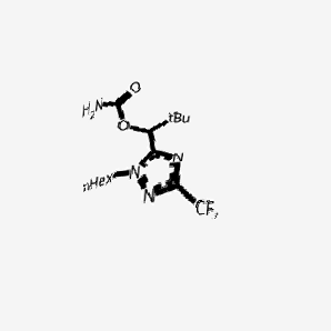 CCCCCCn1nc(C(F)(F)F)nc1C(OC(N)=O)C(C)(C)C